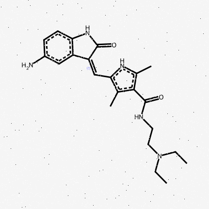 CCN(CC)CCNC(=O)c1c(C)[nH]c(/C=C2\C(=O)Nc3ccc(N)cc32)c1C